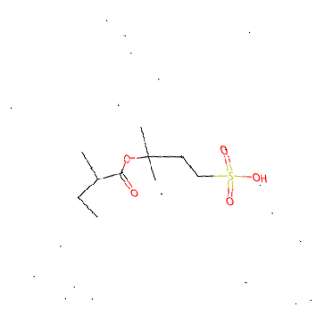 CCC(C)C(=O)OC(C)(C)CCS(=O)(=O)O